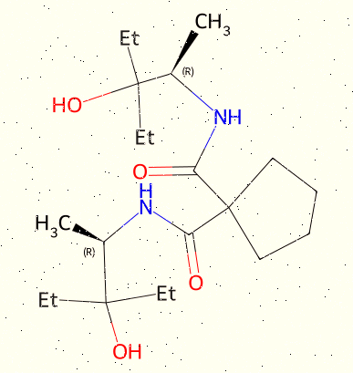 CCC(O)(CC)[C@@H](C)NC(=O)C1(C(=O)N[C@H](C)C(O)(CC)CC)CCCC1